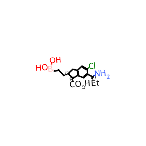 CC[C@@H](N)c1cc2c(cc1Cl)C[C@H](CCCB(O)O)[C@@H]2C(=O)O